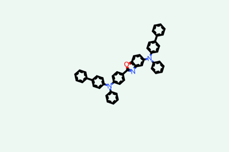 c1ccc(-c2ccc(N(c3ccccc3)c3ccc(-c4nc5cc(N(c6ccccc6)c6ccc(-c7ccccc7)cc6)ccc5o4)cc3)cc2)cc1